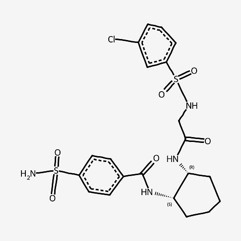 NS(=O)(=O)c1ccc(C(=O)N[C@H]2CCCC[C@H]2NC(=O)CNS(=O)(=O)c2cccc(Cl)c2)cc1